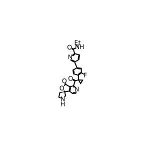 CCNC(=O)c1ccc(-c2ccc(C3(C(=O)c4nccc5c4C(=O)O[C@]54CCNC4)CC3)c(F)c2)cn1